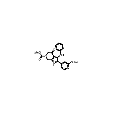 COC(=O)N1CC(=O)c2c([nH]c(-c3ccnc(NC(C)=O)c3)c2Nc2ccccc2)C1